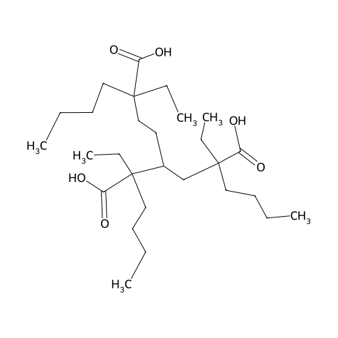 CCCCC(CC)(CCC(CC(CC)(CCCC)C(=O)O)C(CC)(CCCC)C(=O)O)C(=O)O